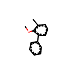 COc1c(C)cccc1-c1ccccc1